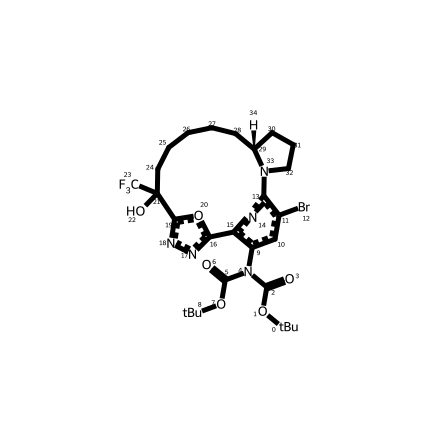 CC(C)(C)OC(=O)N(C(=O)OC(C)(C)C)c1cc(Br)c2nc1-c1nnc(o1)C(O)(C(F)(F)F)CCCCC[C@@H]1CCCN21